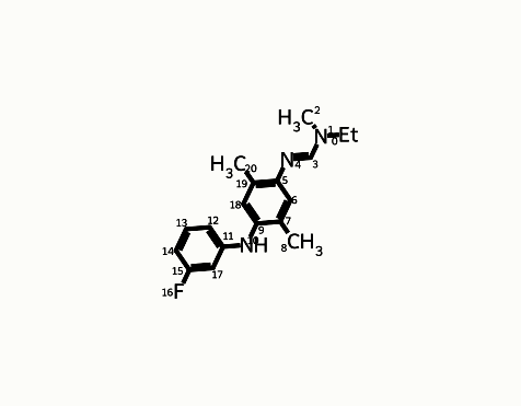 CCN(C)/C=N/c1cc(C)c(Nc2cccc(F)c2)cc1C